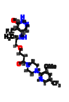 COc1cc(C(F)(F)F)cnc1N1CCN(C(=O)CCOC[C@H](C)Nc2cn[nH]c(=O)c2C(F)(F)F)CC1